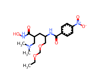 CCOCOCC(CC(CN(C)C)C(=O)NO)NC(=O)c1ccc([N+](=O)[O-])cc1